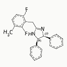 Cc1ccc(F)c(CC2=N[C@@H](c3ccccc3)[C@@H](c3ccccc3)N2)c1F